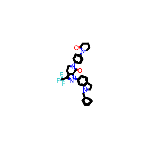 O=C1CCCCN1c1ccc(N2CCc3c(C(F)(F)F)nn(-c4ccc5c(c4)N(Cc4ccccc4)CC5)c3C2=O)cc1